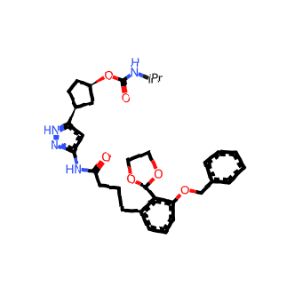 CC(C)NC(=O)O[C@@H]1CC[C@H](c2cc(NC(=O)CCCc3cccc(OCc4ccccc4)c3C3OCCO3)n[nH]2)C1